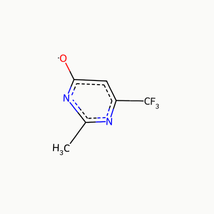 Cc1nc([O])cc(C(F)(F)F)n1